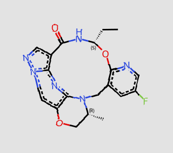 CC[C@H]1NC(=O)c2cnn3cc4c(nc23)N(Cc2cc(F)cnc2O1)[C@H](C)CO4